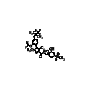 Cn1nc(C(=O)NC[C@@]2(O)CCC(S(C)(=O)=O)C[C@@H]2O)c(Cl)c1-c1ccc(CC(C)(C)C(F)(F)F)cc1OC(F)F